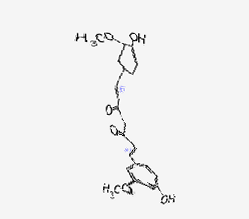 COc1cc(/C=C/C(=O)CC(=O)/C=C/C2CC=C(O)C(OC)C2)ccc1O